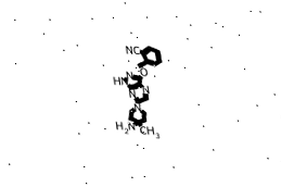 CC1(N)CCN(c2cnc3c(OCc4ccccc4C#N)n[nH]c3n2)CC1